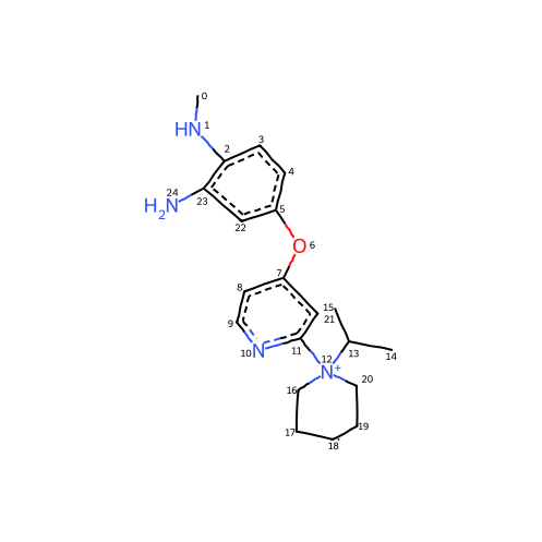 CNc1ccc(Oc2ccnc([N+]3(C(C)C)CC[CH]CC3)c2)cc1N